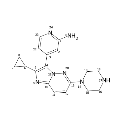 Nc1cc(-c2c(C3CC3)nc3ccc(N4CCNCC4)nn23)ccn1